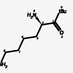 CC(C)(C)C(=O)[C@@H](N)CCCCN